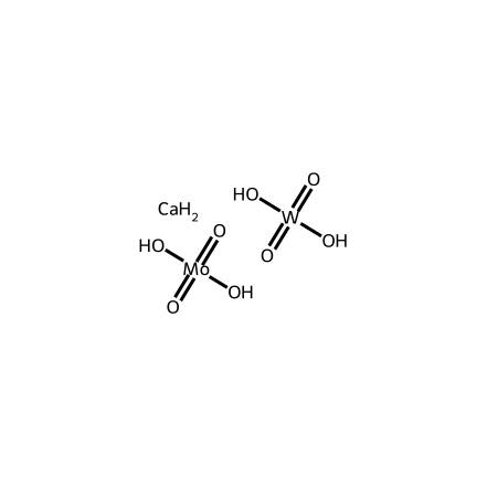 [CaH2].[O]=[Mo](=[O])([OH])[OH].[O]=[W](=[O])([OH])[OH]